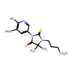 CCOC(=O)CCCN1C(=S)N(c2cnc(C#N)c(SC)c2)C(=O)C1(C)C